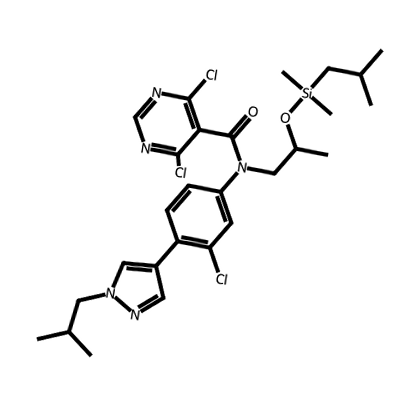 CC(C)Cn1cc(-c2ccc(N(CC(C)O[Si](C)(C)CC(C)C)C(=O)c3c(Cl)ncnc3Cl)cc2Cl)cn1